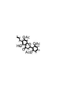 C=CCc1c(OC(C)=O)cc2c(c1O)C(=O)CC(c1c(OC(C)=O)cccc1OC(C)=O)O2